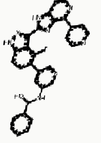 OC(Nc1cncc(-c2ccc3[nH]nc(-c4nc5c(-c6ccncc6)nccc5[nH]4)c3c2F)c1)c1ccccc1